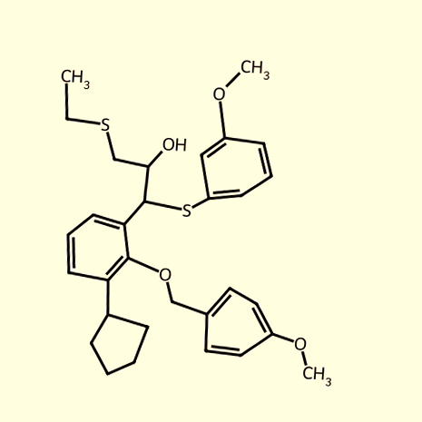 CCSCC(O)C(Sc1cccc(OC)c1)c1cccc(C2CCCC2)c1OCc1ccc(OC)cc1